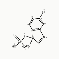 O=P(O)(O)OC1(O)C=Nc2cc(Cl)ccc21